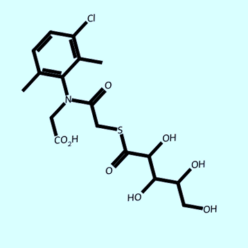 Cc1ccc(Cl)c(C)c1N(CC(=O)O)C(=O)CSC(=O)C(O)C(O)C(O)CO